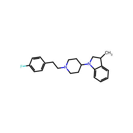 CC1CN(C2CCN(CCc3ccc(F)cc3)CC2)c2ccccc21